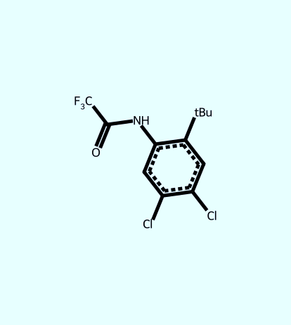 CC(C)(C)c1cc(Cl)c(Cl)cc1NC(=O)C(F)(F)F